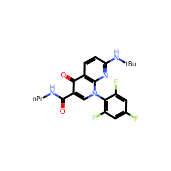 CCCNC(=O)c1cn(-c2c(F)cc(F)cc2F)c2nc(NC(C)(C)C)ccc2c1=O